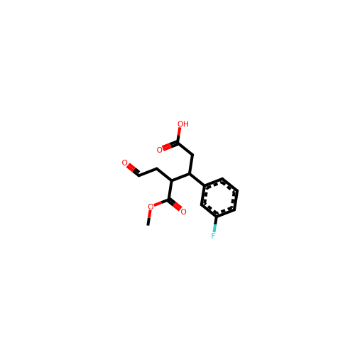 COC(=O)C(CC=O)C(CC(=O)O)c1cccc(F)c1